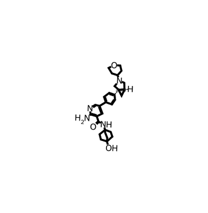 Nc1ncc(-c2ccc([C@@]34C[C@@H]3CN(C3CCOCC3)C4)cc2)cc1C(=O)NC12CCC(O)(CC1)CC2